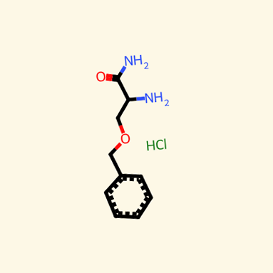 Cl.NC(=O)C(N)COCc1ccccc1